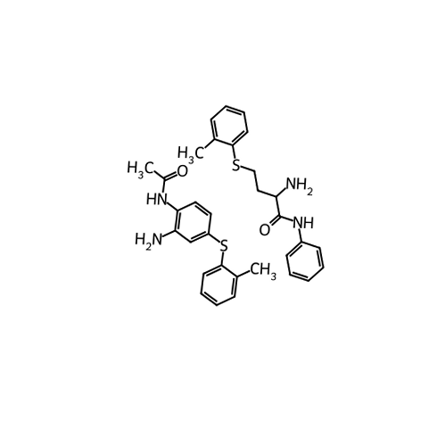 CC(=O)Nc1ccc(Sc2ccccc2C)cc1N.Cc1ccccc1SCCC(N)C(=O)Nc1ccccc1